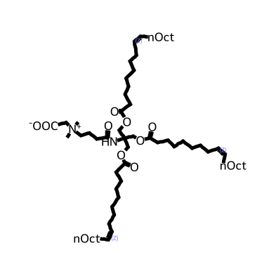 CCCCCCCC/C=C\CCCCCCCC(=O)OCC(COC(=O)CCCCCCC/C=C\CCCCCCCC)(COC(=O)CCCCCCC/C=C\CCCCCCCC)NC(=O)CCC[N+](C)(C)CC(=O)[O-]